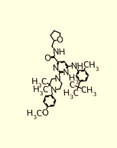 COc1ccc(N2CCN(c3nc(Nc4cc(C(C)(C)C)ccc4C)cc(C(=O)NCC4CCCO4)n3)CC2(C)C)cc1